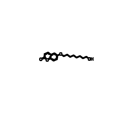 O=c1ccc2cc(OCCCCCCCCO)ccc2o1